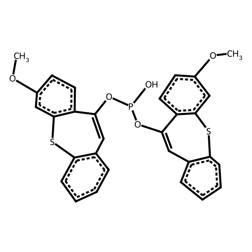 COc1ccc2c(c1)Sc1ccccc1C=C2OP(O)OC1=Cc2ccccc2Sc2cc(OC)ccc21